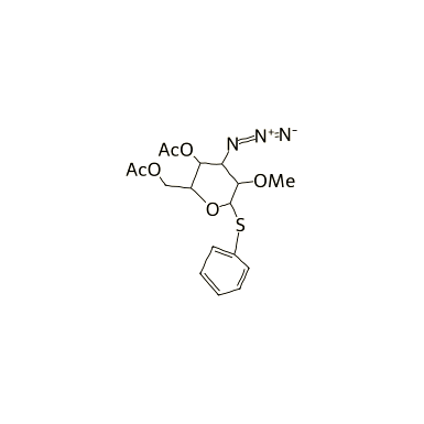 COC1C(Sc2ccccc2)OC(COC(C)=O)C(OC(C)=O)C1N=[N+]=[N-]